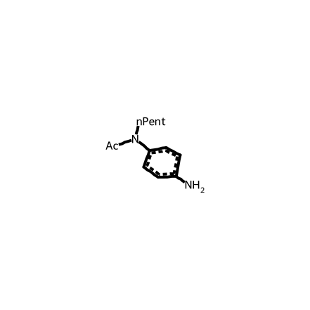 CCCCCN(C(C)=O)c1ccc(N)cc1